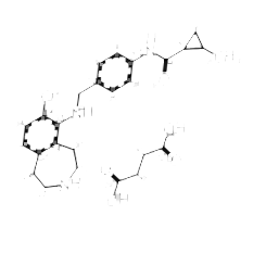 CC1CC1C(=O)Nc1ccc(CNc2c(Cl)ccc3c2CCNCC3)cc1.O=C(O)CCC(=O)O